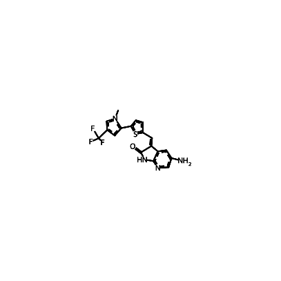 Cn1cc(C(F)(F)F)cc1-c1ccc(C=C2C(=O)Nc3ncc(N)cc32)s1